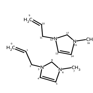 C=CCN1C=CN(C)C1.C=CCN1C=CN(C)C1